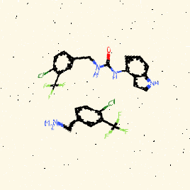 NCc1ccc(Cl)c(C(F)(F)F)c1.O=C(NCc1ccc(Cl)c(C(F)(F)F)c1)Nc1cccc2[nH]ccc12